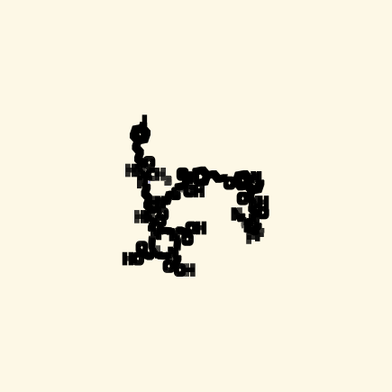 C/C(=N\CCCCC(NC(=O)CN1CCN(CC(=O)O)CCN(CC(=O)O)CCN(CC(=O)O)CC1)C(=O)NCCSC[C@@H](O)C(=O)N1CCC(CCCOc2ccc3nccc(C(=O)NCC(=O)N4CC(F)(F)C[C@@H]4C#N)c3c2)CC1)NC(=O)CCCc1ccc(I)cc1